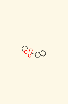 O=C(OC1CCCCO1)c1ccc2ccccc2c1